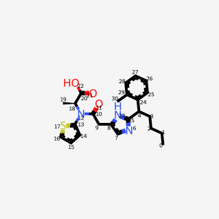 CCCCC(c1ncc(CC(=O)N(c2cccs2)[C@@H](C)C(=O)O)[nH]1)c1ccccc1C